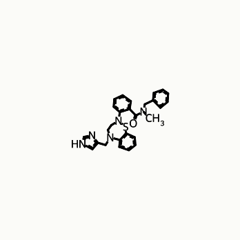 CN(Cc1ccccc1)C(=O)c1ccccc1N1CCN(Cc2c[nH]cn2)c2ccccc2S1